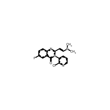 CN(C)C=Cc1nc2ccc(F)cc2c(=O)n1-c1cccnc1Cl